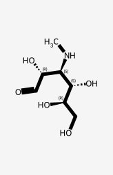 CN[C@@H]([C@H](O)[C@H](O)CO)[C@@H](O)C=O